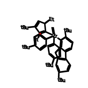 [CH2]=[Zr]([C]1=C(CC)C(C(C)(C)C)=CC1CC)([c]1ccc(C(C)(C)C)cc1)([c]1ccc(C(C)(C)C)cc1)[c]1c(C(C)(C)C)ccc2c1Cc1cc(C(C)(C)C)ccc1-2